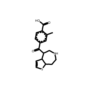 Cc1cc(C(=O)C2CNCCC3SC=CC32)ccc1C(=O)O